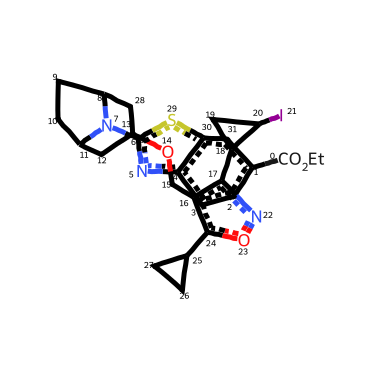 CCOC(=O)c1ccc2nc(N3C4CCC3CC(OCc3c(C5CC5I)noc3C3CC3)C4)sc2c1